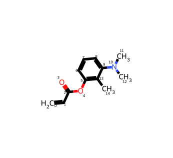 C=CC(=O)Oc1cccc(N(C)C)c1C